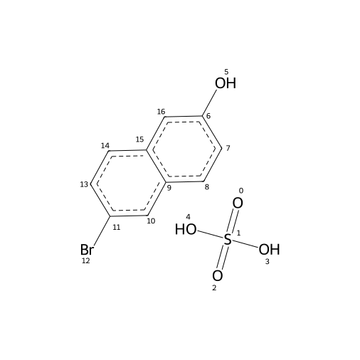 O=S(=O)(O)O.Oc1ccc2cc(Br)ccc2c1